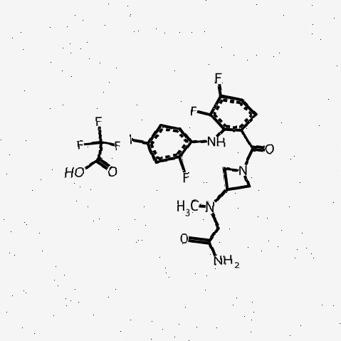 CN(CC(N)=O)C1CN(C(=O)c2ccc(F)c(F)c2Nc2ccc(I)cc2F)C1.O=C(O)C(F)(F)F